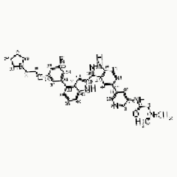 CN(C)CC(=O)Nc1cncc(-c2ccc3[nH]nc(-c4cc5c(-c6cc(F)cc(OCCN7CCCC7)c6)cccc5[nH]4)c3c2)c1